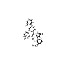 COc1cccc2c1COC[C@]21CNC[C@H]1C(=O)N1CC[C@@H](c2ccccc2F)C[C@H]1C1CCC(F)(F)CC1